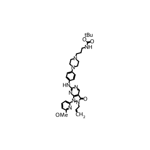 C=CCn1c(=O)c2cnc(Nc3ccc(N4CCN(CCCNC(=O)OC(C)(C)C)CC4)cc3)nc2n1-c1cccc(OC)n1